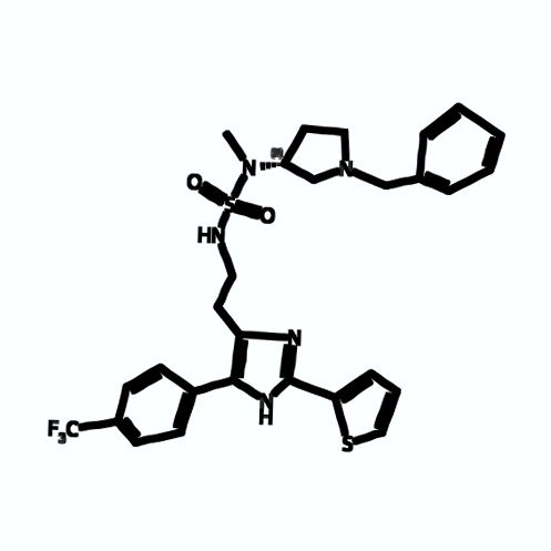 CN([C@@H]1CCN(Cc2ccccc2)C1)S(=O)(=O)NCCc1nc(-c2cccs2)[nH]c1-c1ccc(C(F)(F)F)cc1